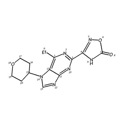 CCc1nc(-c2noc(=O)[nH]2)nc2ncn(C3CCOCC3)c12